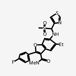 CCc1cc2c(C(=O)NC)c(-c3ccc(F)cc3)oc2cc1NC(c1cscn1)S(C)(=O)=O